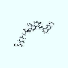 Cc1ccc2cccc(OCc3c(Cl)ccc(N(C)C(=O)CNC(=O)C=Cc4ccc(C(N)=O)cc4)c3Cl)c2n1